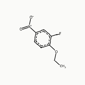 C[CH]Oc1ccc([N+](=O)[O-])cc1F